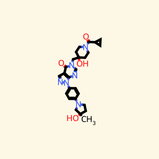 CC1(O)CCN(c2ccc(-n3ncc4c(=O)n(CC5(O)CCN(C(=O)C6CC6)CC5)cnc43)cc2)C1